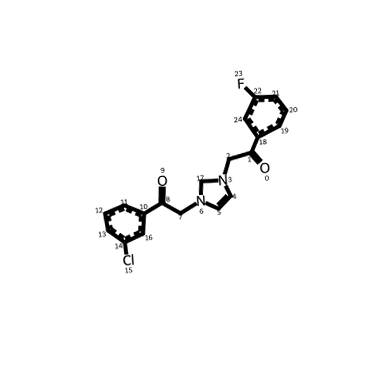 O=C(CN1C=CN(CC(=O)c2cccc(Cl)c2)C1)c1cccc(F)c1